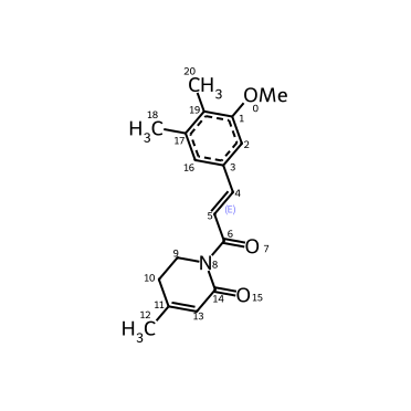 COc1cc(/C=C/C(=O)N2CCC(C)=CC2=O)cc(C)c1C